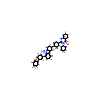 O=c1c2ccccc2nc(-c2ccc(-c3ccc4[nH]c5c(-c6ccc7oc8ccccc8c7c6)cccc5c4c3)cc2)n1-c1ccccc1